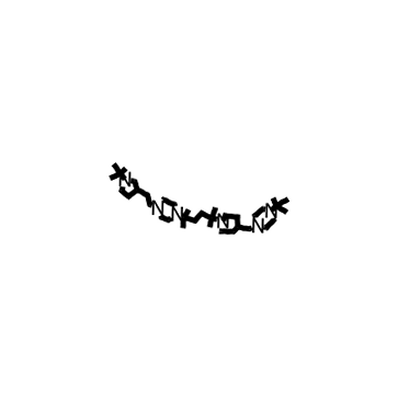 CC(C)(C)N1CCN(CC2CCN(C(C)(C)CCC(C)(C)N3CCN(CCC4CCN(C(C)(C)C)C4)CC3)CC2)CC1